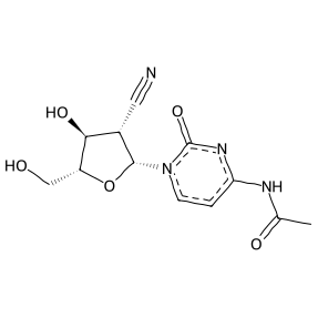 CC(=O)Nc1ccn([C@@H]2O[C@H](CO)[C@@H](O)[C@@H]2C#N)c(=O)n1